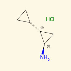 Cl.N[C@@H]1C[C@H]1C1CC1